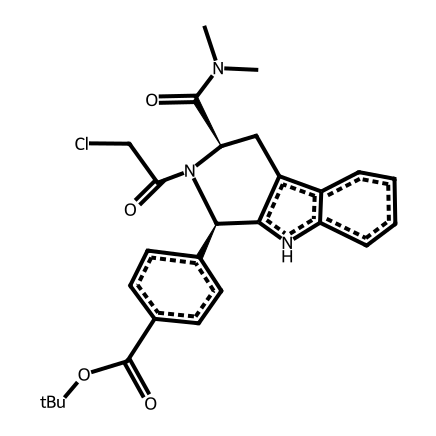 CN(C)C(=O)[C@H]1Cc2c([nH]c3ccccc23)[C@@H](c2ccc(C(=O)OC(C)(C)C)cc2)N1C(=O)CCl